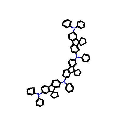 c1ccc(N(c2ccccc2)c2ccc3c(c2)C2(CCCC2)c2cc(N(c4ccccc4)c4ccc5c(c4)C4(CCCC4)c4cc(N(c6ccccc6)c6ccc7c(c6)C6(CCCC6)c6cc(N(c8ccccc8)c8ccccc8)ccc6-7)ccc4-5)ccc2-3)cc1